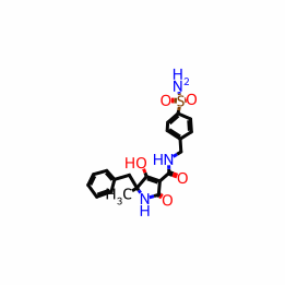 CC1(Cc2ccccc2)NC(=O)C(C(=O)NCc2ccc(S(N)(=O)=O)cc2)=C1O